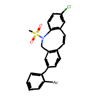 CC(=O)c1ccccc1-c1ccc2c(c1)CN(S(C)(=O)=O)c1ccc(Cl)cc1C=C2